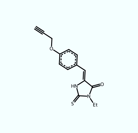 C#CCOc1ccc(/C=C2\NC(=S)N(CC)C2=O)cc1